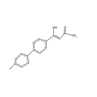 Cc1ccc(-c2ccc(C(O)=CC(=O)C(F)(F)F)cc2)cc1